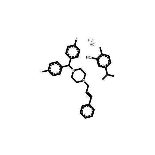 Cc1ccc(C(C)C)cc1O.Cl.Cl.Fc1ccc(C(c2ccc(F)cc2)N2CCN(C/C=C/c3ccccc3)CC2)cc1